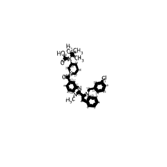 Cn1c(-c2cc3ccccc3n2Cc2cccc(Cl)c2)nc2cc(C(=O)N3CCC[C@@H](N(C(=O)O)C(C)(C)C)C3)ccc21